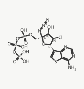 [N-]=[N+]=N[C@]1(COP(=O)(O)OP(=O)(O)OP(=O)(O)O)O[C@@H](c2csc3c(N)ncnc23)[C@H](Cl)[C@@H]1O